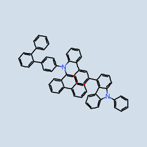 c1ccc(-c2ccccc2-c2ccc(N(c3ccccc3-c3cccc(-c4cccc5c4c4ccccc4n5-c4ccccc4)c3)c3cc4ccccc4c4ccccc34)cc2)cc1